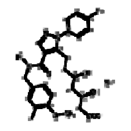 Cc1cc(CN(C(=O)c2cnn(-c3ccc(F)cc3)c2CC[C@@H](O)C[C@@H](O)CC(=O)[O-])C(C)C)ccc1OC(F)(F)F.[Na+]